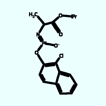 CC(C)OC(=O)C(C)/N=[P+](\[O-])Oc1ccc2ccccc2c1Cl